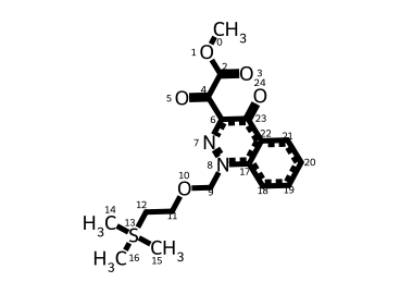 COC(=O)C(=O)c1nn(COCCS(C)(C)C)c2ccccc2c1=O